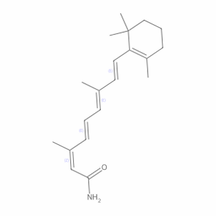 CC1=C(/C=C/C(C)=C/C=C/C(C)=C\C(N)=O)C(C)(C)CCC1